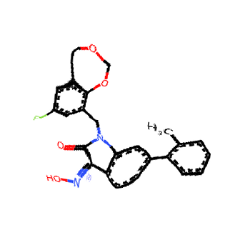 Cc1ccccc1-c1ccc2c(c1)N(Cc1cc(F)cc3c1OCOC3)C(=O)/C2=N\O